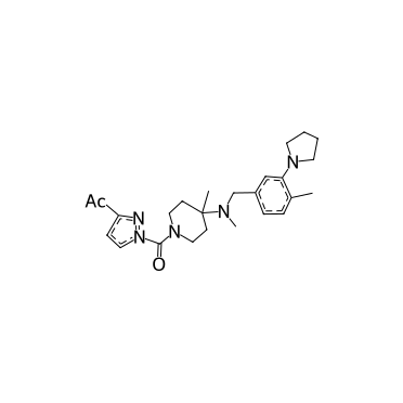 CC(=O)c1ccn(C(=O)N2CCC(C)(N(C)Cc3ccc(C)c(N4CCCC4)c3)CC2)n1